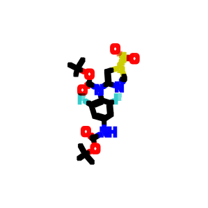 CC(C)(C)OC(=O)Nc1cc(F)c(N(C(=O)OC(C)(C)C)C2=CS(=S(=O)=O)C=N2)c(F)c1